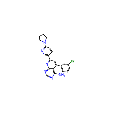 Nc1ncnc2nc(-c3ccc(N4CCCC4)nc3)cc(-c3cccc(Br)c3)c12